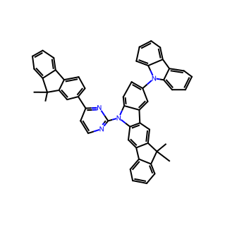 CC1(C)c2ccccc2-c2ccc(-c3ccnc(-n4c5ccc(-n6c7ccccc7c7ccccc76)cc5c5cc6c(cc54)-c4ccccc4C6(C)C)n3)cc21